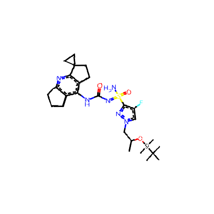 CC(Cn1cc(F)c(S(N)(=O)=NC(=O)Nc2c3c(nc4c2CCC42CC2)CCC3)n1)O[Si](C)(C)C(C)(C)C